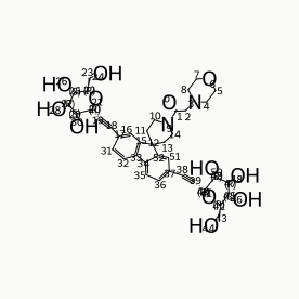 O=C(CN1CCOCC1)N1CCC2(CC1)c1cc(C#C[C@H]3O[C@H](CO)[C@@H](O)[C@H](O)[C@@H]3O)ccc1-c1ccc(C#C[C@H]3O[C@H](CO)[C@@H](O)[C@H](O)[C@@H]3O)cc12